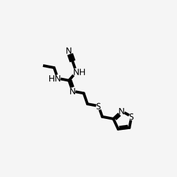 CCN/C(=N/CCSCc1ccsn1)NC#N